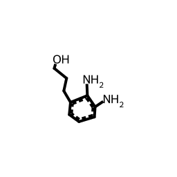 Nc1cccc(CCCO)c1N